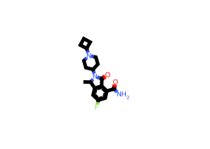 CC1c2cc(F)cc(C(N)=O)c2C(=O)N1C1CCN(C2CCC2)CC1